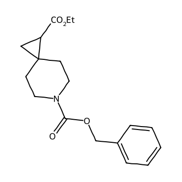 CCOC(=O)C1CC12CCN(C(=O)OCc1ccccc1)CC2